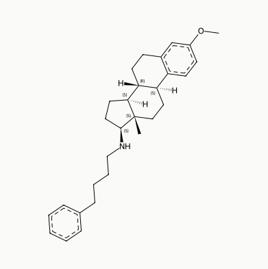 COc1ccc2c(c1)CC[C@@H]1[C@@H]2CC[C@]2(C)[C@@H](NCCCCc3ccccc3)CC[C@@H]12